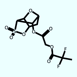 CC(F)(F)C(=O)OCC(=O)OC1C2CC3OS(=O)(=O)C1C3O2